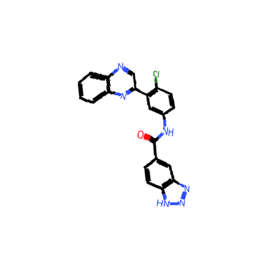 O=C(Nc1ccc(Cl)c(-c2cnc3ccccc3n2)c1)c1ccc2[nH]nnc2c1